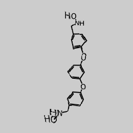 ONCc1ccc(Oc2cccc(Oc3ccc(CNO)cc3)c2)cc1